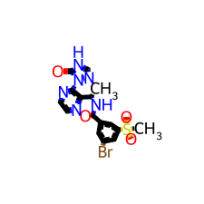 CC(NC(=O)c1cc(Br)cc(S(C)(=O)=O)c1)c1nccnc1-n1nc[nH]c1=O